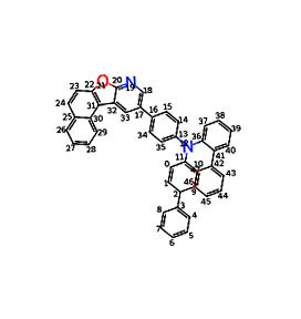 C1=CC(c2ccccc2)CC=C1N(c1ccc(-c2cnc3oc4ccc5ccccc5c4c3c2)cc1)c1ccccc1-c1ccccc1